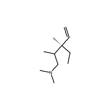 C=C[C@@](C)(CC)C(C)CN(C)C